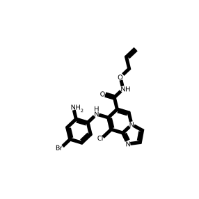 C=CCONC(=O)c1cn2ccnc2c(Cl)c1Nc1ccc(Br)cc1N